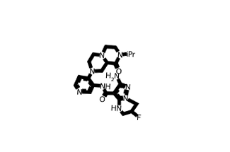 CC(C)N1CCN2CCN(c3ccncc3NC(=O)c3c(N)nn4c3NCC(F)C4)CC2C1=O